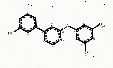 Oc1cccc(-c2ccnc(Nc3cc(C(F)(F)F)cc(C(F)(F)F)c3)n2)c1